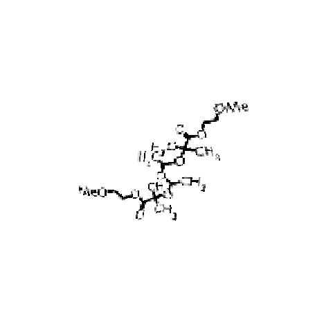 COCCOC(=O)C(C)(C)OC(C)OC(C)OC(C)(C)C(=O)OCCOC